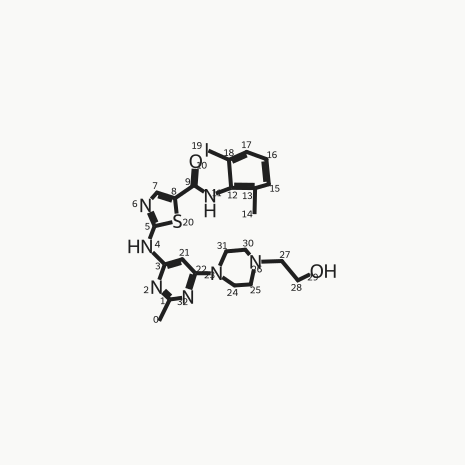 Cc1nc(Nc2ncc(C(=O)Nc3c(C)cccc3I)s2)cc(N2CCN(CCO)CC2)n1